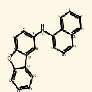 c1ccc2c(Nc3ccc4oc5ccccc5c4c3)cccc2c1